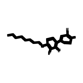 CCCCCCCCOc1ccc(-c2ccc(C)c(F)c2)c(F)c1F